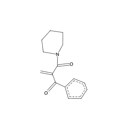 C=C(C(=O)c1ccccc1)C(=O)N1CCCCC1